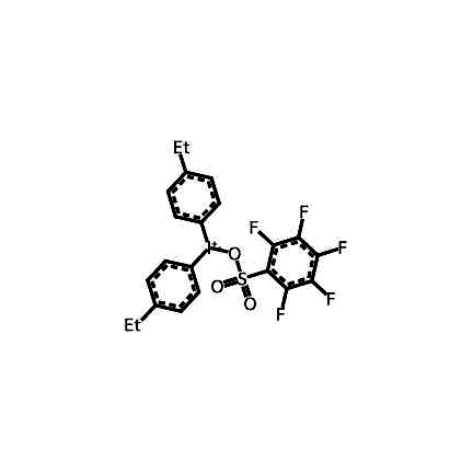 CCc1ccc([I+](OS(=O)(=O)c2c(F)c(F)c(F)c(F)c2F)c2ccc(CC)cc2)cc1